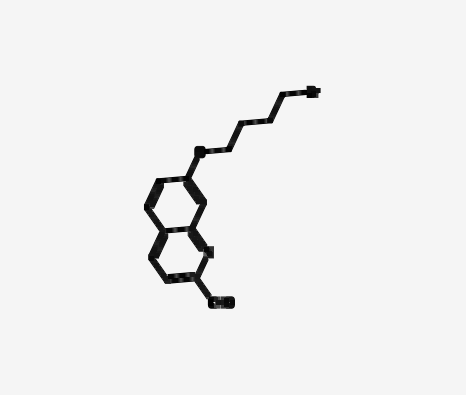 O=Cc1ccc2ccc(OCCCCBr)cc2n1